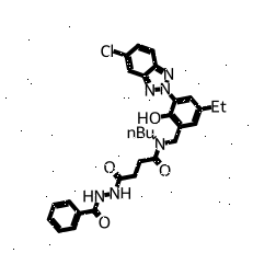 CCCCN(Cc1cc(CC)cc(-n2nc3ccc(Cl)cc3n2)c1O)C(=O)CCC(=O)NNC(=O)c1ccccc1